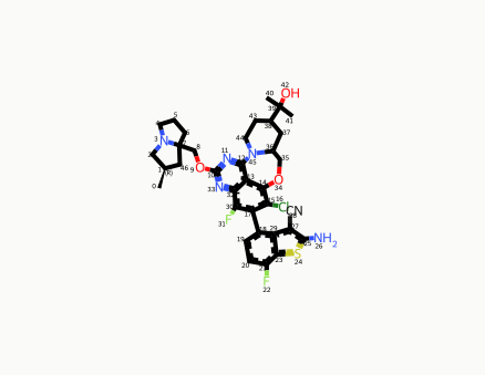 C[C@H]1CN2CCCC2(COc2nc3c4c(c(Cl)c(-c5ccc(F)c6sc(N)c(C#N)c56)c(F)c4n2)OCC2CC(C(C)(C)O)CCN32)C1